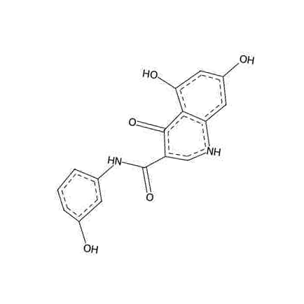 O=C(Nc1cccc(O)c1)c1c[nH]c2cc(O)cc(O)c2c1=O